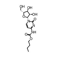 CCCCOC(=O)Nc1ccn([C@@H]2O[C@H](CO)[C@@H](O)[C@H]2O)c(=O)n1